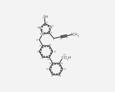 CC#CCc1nc(S)nn1Cc1ccc(-c2ccccc2C(=O)O)cc1